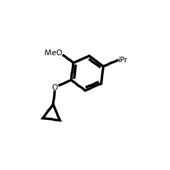 COc1cc(C(C)C)ccc1OC1CC1